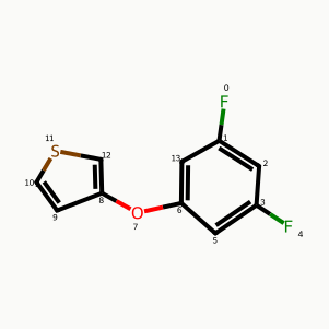 Fc1cc(F)cc(Oc2c[c]sc2)c1